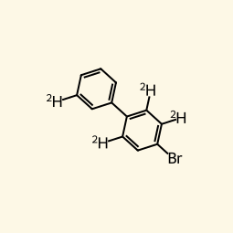 [2H]c1cccc(-c2c([2H])cc(Br)c([2H])c2[2H])c1